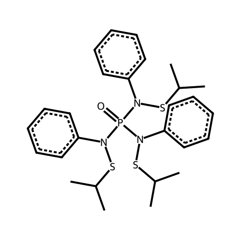 CC(C)SN(c1ccccc1)P(=O)(N(SC(C)C)c1ccccc1)N(SC(C)C)c1ccccc1